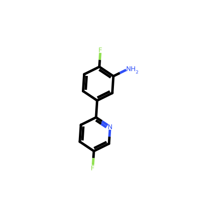 Nc1cc(-c2ccc(F)cn2)ccc1F